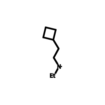 CC[N]CCC1CCC1